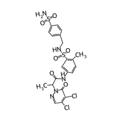 Cc1ccc(NC(=O)C(C)n2ncc(Cl)c(Cl)c2=O)cc1S(=O)(=O)NCc1ccc(S(N)(=O)=O)cc1